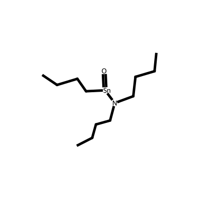 CCCC[N](CCCC)[Sn](=[O])[CH2]CCC